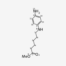 COC(=O)CCCCCNc1ccc(N)cc1